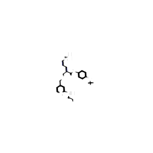 CN/C=C\C=C(/CSCc1ccnc(NC(=O)CO)c1)C(=O)Nc1ccc(OC(F)(F)F)cc1